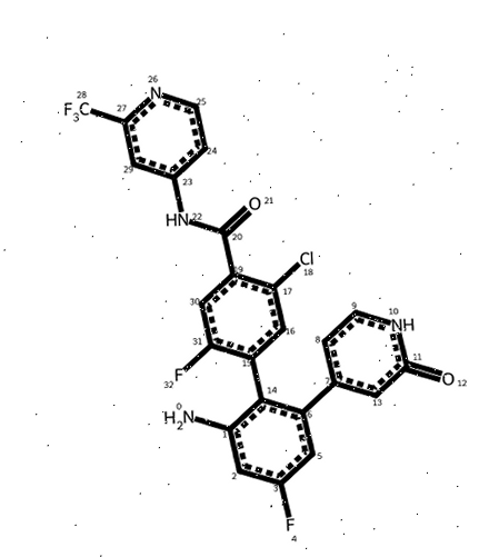 Nc1cc(F)cc(-c2cc[nH]c(=O)c2)c1-c1cc(Cl)c(C(=O)Nc2ccnc(C(F)(F)F)c2)cc1F